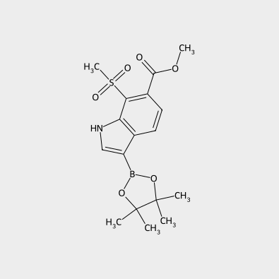 COC(=O)c1ccc2c(B3OC(C)(C)C(C)(C)O3)c[nH]c2c1S(C)(=O)=O